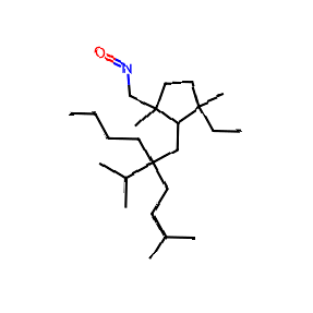 CCCCC(CCC(C)C)(CC1C(C)(CC)CCC1(C)CN=O)C(C)C